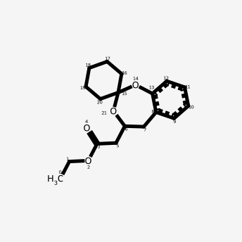 CCOC(=O)CC1Cc2ccccc2OC2(CCCCC2)O1